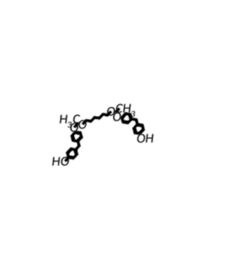 CC(OCCCCCCOC(C)Oc1ccc(Cc2ccc(O)cc2)cc1)Oc1ccc(Cc2ccc(O)cc2)cc1